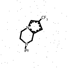 CC(C)N1CCn2cc(C(F)(F)F)cc2C1